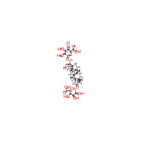 C[C@]12CC[C@H](OC3O[C@H](C(=O)O)[C@@H](O)[C@H](O)[C@H]3O)C[C@@H]1CC[C@@H]1[C@@H]2CC[C@]2(C)[C@@H](C(=O)COC3O[C@H](C(=O)O)[C@@H](O)[C@H](O)[C@H]3O)CC[C@@H]12